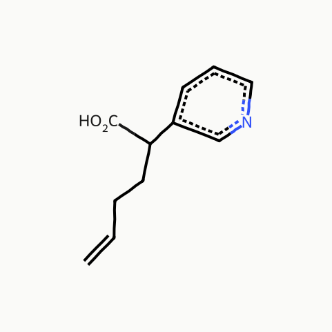 C=CCCC(C(=O)O)c1cccnc1